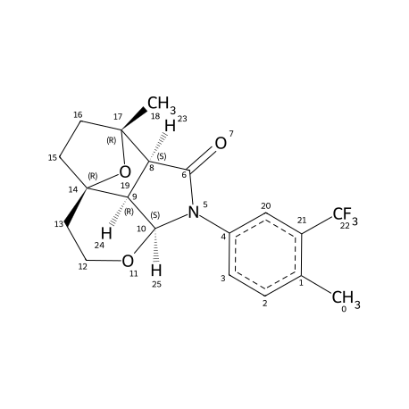 Cc1ccc(N2C(=O)[C@H]3[C@H]4[C@@H]2OCC[C@]42CC[C@@]3(C)O2)cc1C(F)(F)F